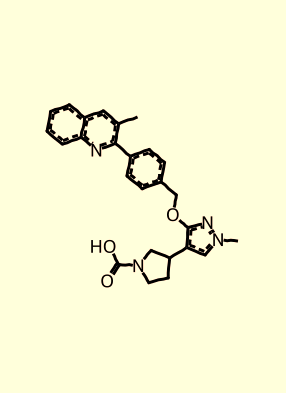 Cc1cc2ccccc2nc1-c1ccc(COc2nn(C)cc2C2CCN(C(=O)O)C2)cc1